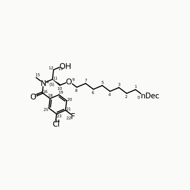 CCCCCCCCCCCCCCCCCCOC[C@H](CO)N(C)C(=O)c1ccc(F)c(Cl)c1